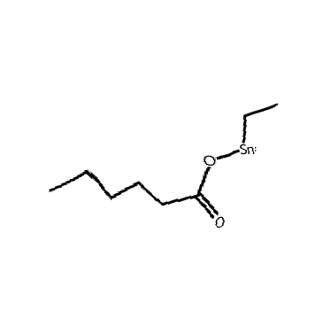 CCCCCC(=O)[O][Sn][CH2]C